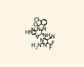 N#Cc1c(NC(c2nc3cccc(Cl)c3c(=O)n2-c2cc[nH]n2)C2CC2)nc(N)nc1C(F)F